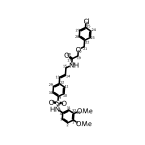 COc1ccc(NS(=O)(=O)c2ccc(C=CCNC(=O)COCc3ccc(Cl)cc3)cc2)cc1OC